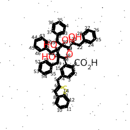 O=C(O)c1ccc(Cc2cc3ccccc3s2)cc1[C@@H]1O[C@H](C(O)Cc2ccccc2)[C@](O)(Cc2ccccc2)[C@@](O)(Cc2ccccc2)[C@]1(O)Cc1ccccc1